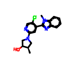 C[C@@H]1CN(c2cc(-c3nc4ccccc4n3C)c(Cl)cn2)C[C@@H]1O